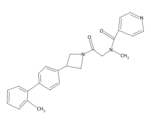 Cc1ccccc1-c1ccc(C2CN(C(=O)CN(C)C(=O)c3ccncc3)C2)cc1